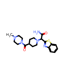 CN1CCN(C(=O)C2CCN(C(C(N)=O)c3nc4ccccc4s3)CC2)CC1